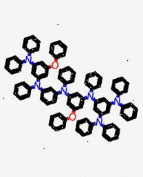 c1ccc(Oc2cc(N(c3ccccc3)c3ccccc3)cc(N(c3ccccc3)c3cccc(N(c4ccccc4)c4cc(Oc5ccccc5)cc(N(c5ccccc5)c5cc(N(c6ccccc6)c6ccccc6)cc(N(c6ccccc6)c6ccccc6)c5)c4)c3)c2)cc1